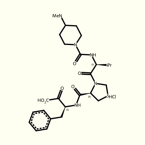 CNC1CCN(C(=O)N[C@H](C(=O)N2CSC[C@H]2C(=O)N[C@@H](Cc2ccccc2)C(=O)C(=O)O)C(C)C)CC1.Cl